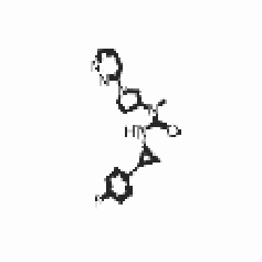 CN(C(=O)N[C@@H]1C[C@H]1c1ccc(F)cc1)C1CCN(c2cccnn2)C1